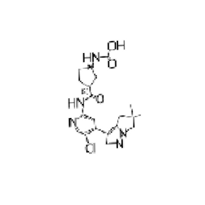 CC1(C)Cc2c(-c3cc(NC(=O)[C@H]4CC[C@@H](NC(=O)O)C4)ncc3Cl)cnn2C1